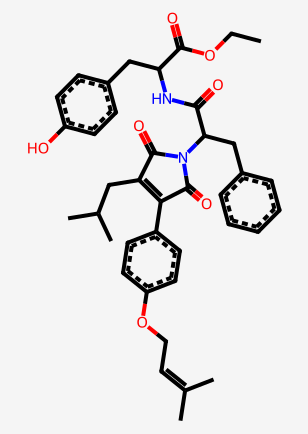 CCOC(=O)C(Cc1ccc(O)cc1)NC(=O)C(Cc1ccccc1)N1C(=O)C(CC(C)C)=C(c2ccc(OCC=C(C)C)cc2)C1=O